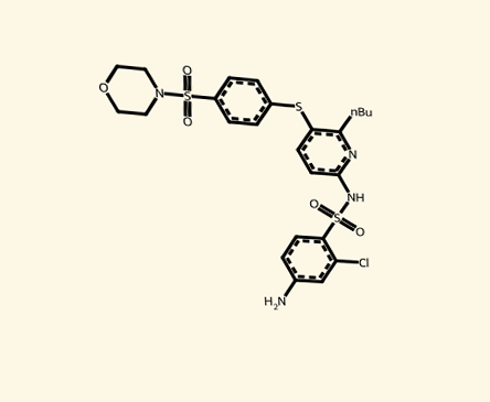 CCCCc1nc(NS(=O)(=O)c2ccc(N)cc2Cl)ccc1Sc1ccc(S(=O)(=O)N2CCOCC2)cc1